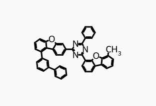 Cc1cccc2c1oc1c(-c3nc(-c4ccccc4)nc(-c4ccc5c(c4)oc4cccc(-c6cccc(-c7ccccc7)c6)c45)n3)cccc12